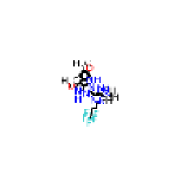 [2H]C([2H])([2H])n1nnc2c(-c3nc(N)c4c(n3)NC(=O)C4(C)c3ccc(OC)cc3)nc(CCC(F)(F)C(F)(F)F)nc21